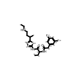 CCNCCC(C)c1nnc(NC(=O)C(CC)NC(=O)Cc2cc(F)cc(F)c2)s1